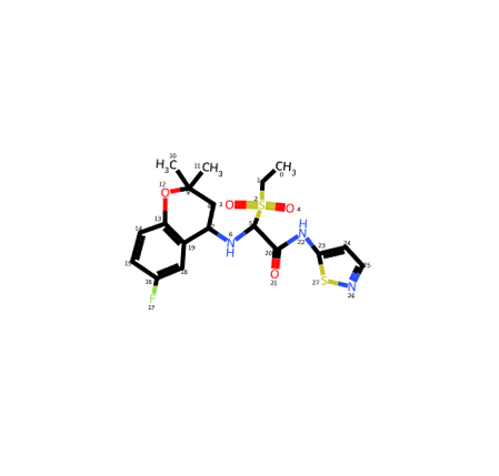 CCS(=O)(=O)C(NC1CC(C)(C)Oc2ccc(F)cc21)C(=O)Nc1ccns1